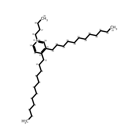 CCCCCCCCCCCCc1cc[n+](CCCC)cc1CCCCCCCCCCCC